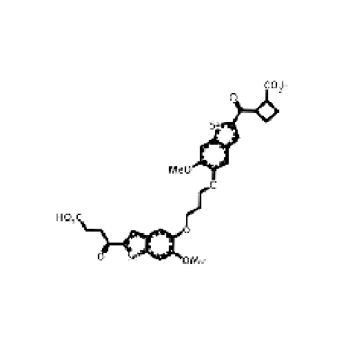 COc1cc2[se]c(C(=O)CCC(=O)O)cc2cc1OCCCOc1cc2cc(C(=O)C3CCC3C(=O)O)[se]c2cc1OC